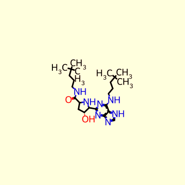 CC(C)(C)CCCNC(=O)C1C[C@@H](O)C(c2nc(NCCCC(C)(C)C)c3[nH]cnc3n2)N1